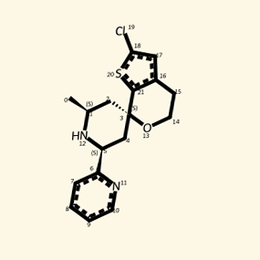 C[C@H]1C[C@@]2(C[C@@H](c3ccccn3)N1)OCCc1cc(Cl)sc12